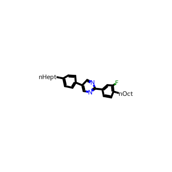 CCCCCCCCc1ccc(-c2ncc(-c3ccc(CCCCCCC)cc3)cn2)cc1F